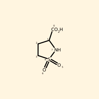 O=C(O)C1CCS(=O)(=O)N1